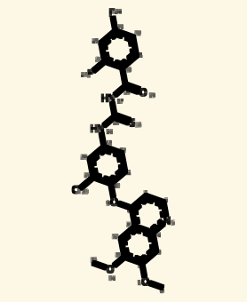 COc1cc2nccc(Oc3ccc(NC(=S)NC(=O)c4ccc(F)cc4F)cc3Cl)c2cc1OC